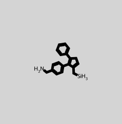 NCc1ccc(C2=C(c3ccccc3)CC=C2C[SiH3])cc1